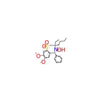 CCCC[C@]1(CC)CS(=O)(=O)c2cc(OC)c(OC)cc2[C@H](c2ccccc2)N1O